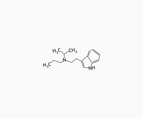 CCCN(CCc1c[nH]c2ccccc12)C(C)C